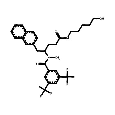 CN(C(=O)c1cc(C(F)(F)F)cc(C(F)(F)F)c1)C(CCC(=O)NCCCCCO)Cc1ccc2ccccc2c1